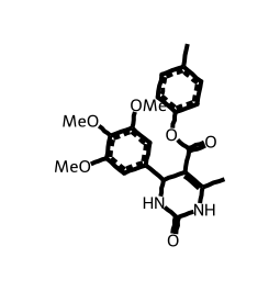 COc1cc(C2NC(=O)NC(C)=C2C(=O)Oc2ccc(C)cc2)cc(OC)c1OC